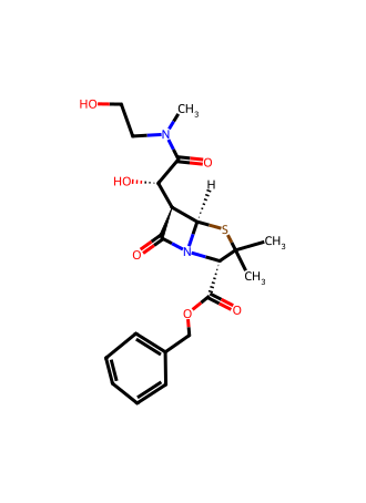 CN(CCO)C(=O)[C@@H](O)[C@@H]1C(=O)N2[C@@H]1SC(C)(C)[C@@H]2C(=O)OCc1ccccc1